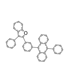 c1ccc(-c2c(-c3cccc(-c4c5ccccc5c(-c5ccccc5)c5ccccc45)c3)oc3ccccc23)cc1